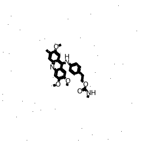 CNC(=O)OCCc1ccc(Nc2c3cc(OC)c(C)cc3nc3cc(OC)c(OC)cc23)cc1